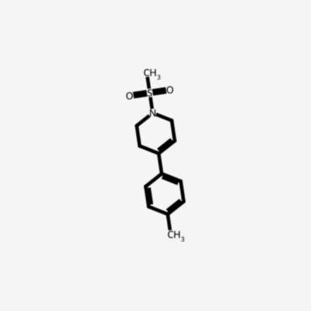 Cc1ccc(C2=CCN(S(C)(=O)=O)CC2)cc1